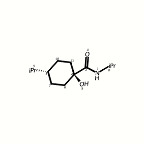 CC(C)NC(=O)[C@]1(O)CC[C@H](C(C)C)CC1